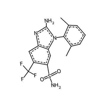 Cc1cccc(C)c1-n1c(N)nc2cc(C(F)(F)F)c(S(N)(=O)=O)cc21